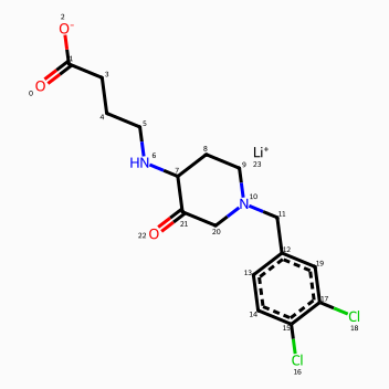 O=C([O-])CCCNC1CCN(Cc2ccc(Cl)c(Cl)c2)CC1=O.[Li+]